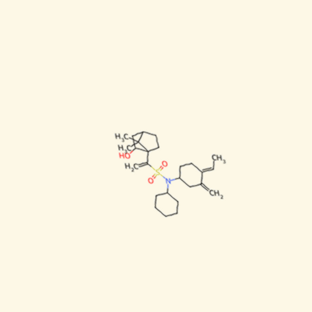 C=C1CC(N(C2CCCCC2)S(=O)(=O)C(=C)C23CCC(CC2O)C3(C)C)CC/C1=C\C